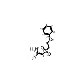 NC(N)=CS(=O)(=O)CCOc1ccccc1